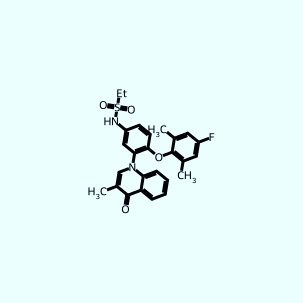 CCS(=O)(=O)Nc1ccc(Oc2c(C)cc(F)cc2C)c(-n2cc(C)c(=O)c3ccccc32)c1